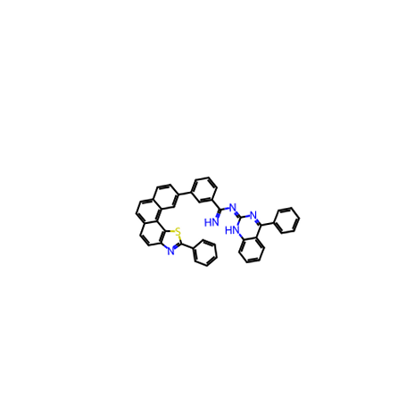 N=C(/N=c1/nc(-c2ccccc2)c2ccccc2[nH]1)c1cccc(-c2ccc3ccc4ccc5nc(-c6ccccc6)sc5c4c3c2)c1